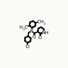 Cc1ccc(C)c(N(Cc2ccc(Cl)cc2)C(=O)c2ccc[nH]c2=O)c1